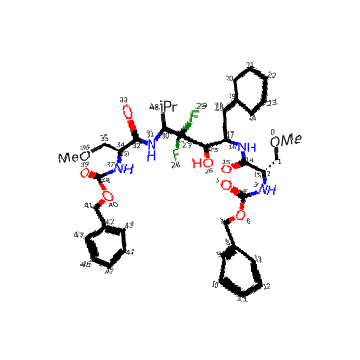 COC[C@H](NC(=O)OCc1ccccc1)C(=O)NC(CC1CCCCC1)C(O)C(F)(F)C(NC(=O)[C@H](COC)NC(=O)OCc1ccccc1)C(C)C